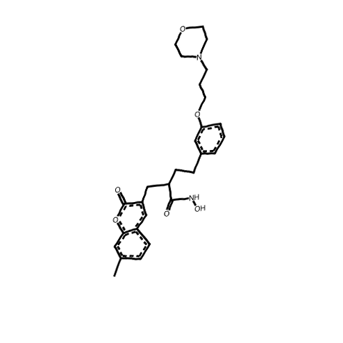 Cc1ccc2cc(CC(CCc3cccc(OCCCN4CCOCC4)c3)C(=O)NO)c(=O)oc2c1